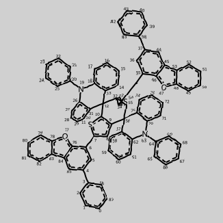 c1ccc(-c2cc(-c3cc4c(s3)C3(c5ccccc5N(c5ccccc5)c5ccccc53)c3cc(-c5cc(-c6ccccc6)cc6c5oc5ccccc56)sc3C43c4ccccc4N(c4ccccc4)c4ccccc43)c3oc4ccccc4c3c2)cc1